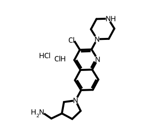 Cl.Cl.NCC1CCN(c2ccc3nc(N4CCNCC4)c(Cl)cc3c2)C1